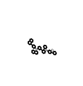 c1cc(-c2cccc3c2c2ccccc2n3-c2ccc3c(c2)oc2ccccc23)cc(N(c2ccc(-c3cccc4ccccc34)cc2)c2cccc3ccccc23)c1